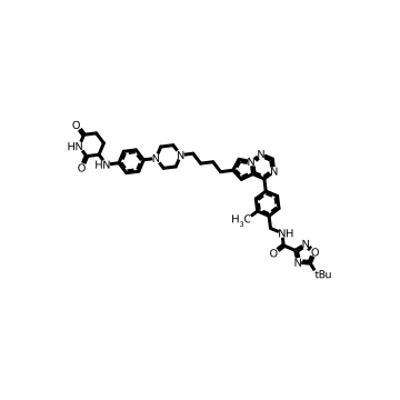 Cc1cc(-c2ncnn3cc(CCCCN4CCN(c5ccc(NC6CCC(=O)NC6=O)cc5)CC4)cc23)ccc1CNC(=O)c1noc(C(C)(C)C)n1